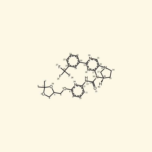 CC1(C)OCC(COc2cccc(NC(=O)N3c4nc(-c5cccc(C(F)(F)F)c5)ncc4N4CC[C@H]3C4)n2)O1